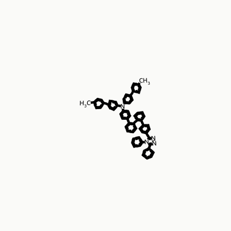 Cc1ccc(-c2ccc(N(c3ccc(-c4ccc(C)cc4)cc3)c3ccc(-c4ccccc4-c4ccccc4-c4ccc(-c5nnc(-c6ccccc6)n5-c5ccccc5)cc4)cc3)cc2)cc1